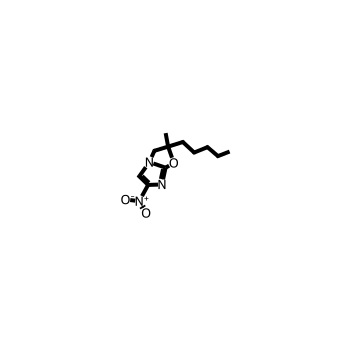 CCCCCC1(C)Cn2cc([N+](=O)[O-])nc2O1